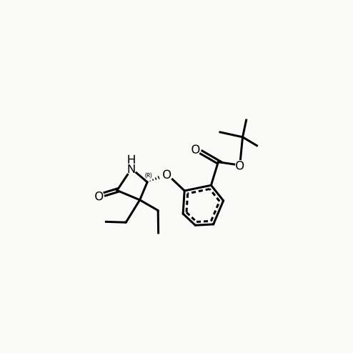 CCC1(CC)C(=O)N[C@@H]1Oc1ccccc1C(=O)OC(C)(C)C